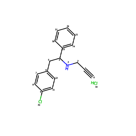 C#CCNC(Cc1ccc(Cl)cc1)c1ccccc1.Cl